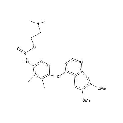 COc1cc2nccc(Oc3ccc(NC(=O)OCCN(C)C)c(C)c3C)c2cc1OC